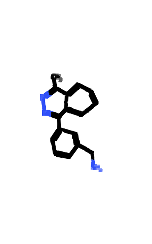 Cc1nnc(-c2cccc(CN)c2)c2ccccc12